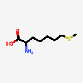 CSCCCCCC(N)C(=O)O